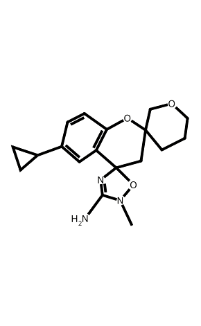 CN1OC2(CC3(CCCOC3)Oc3ccc(C4CC4)cc32)N=C1N